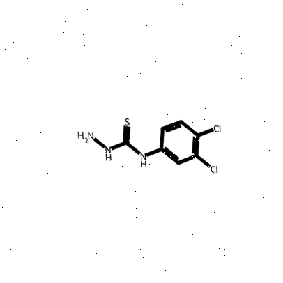 NNC(=S)Nc1ccc(Cl)c(Cl)c1